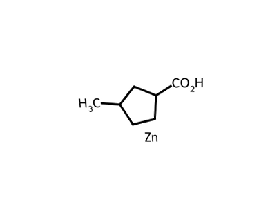 CC1CCC(C(=O)O)C1.[Zn]